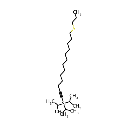 CCCSCCCCCCCCCCCC#C[Si](C(C)C)(C(C)C)C(C)C